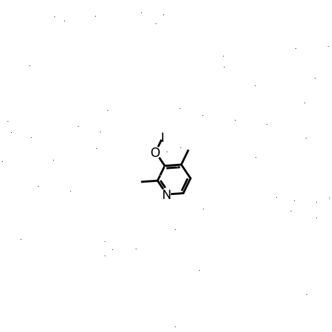 Cc1ccnc(C)c1OI